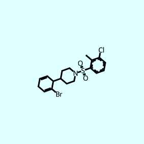 Cc1c(Cl)cccc1S(=O)(=O)N1CCC(C2C=CCC=C2Br)CC1